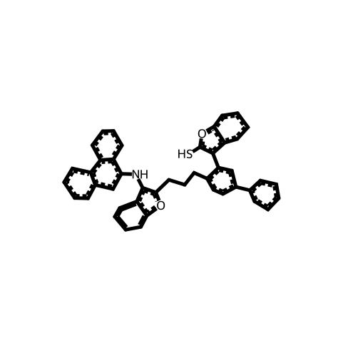 Sc1oc2ccccc2c1-c1cc(-c2ccccc2)ccc1CCCc1oc2c(c1Nc1cc3ccccc3c3ccccc13)=C=C=CC=2